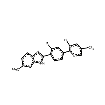 COc1ccc2nc(-c3ccc(-c4ncc(C(F)(F)F)cc4Cl)cc3F)[nH]c2c1